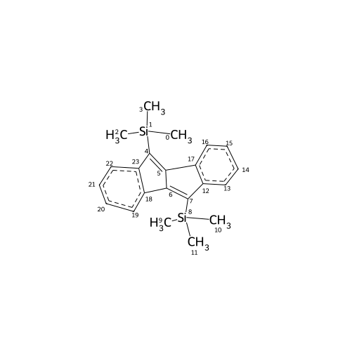 C[Si](C)(C)C1=C2C(=C([Si](C)(C)C)c3ccccc32)c2ccccc21